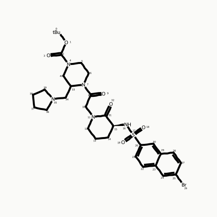 CC(C)(C)OC(=O)N1CCN(C(=O)CN2CCC[C@H](NS(=O)(=O)c3ccc4cc(Br)ccc4c3)C2=O)C(CN2CCCC2)C1